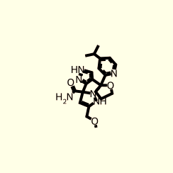 COCC1=CC(C(N)=O)(c2n[nH]cc2C2(c3cc(C(C)C)ccn3)CCCO2)N(C)N1